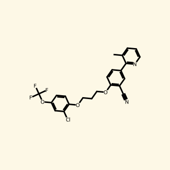 Cc1cccnc1-c1ccc(OCCCOc2ccc(OC(F)(F)F)cc2Cl)c(C#N)c1